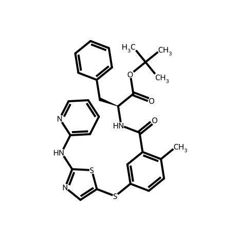 Cc1ccc(Sc2cnc(Nc3ccccn3)s2)cc1C(=O)N[C@@H](Cc1ccccc1)C(=O)OC(C)(C)C